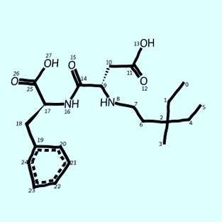 CCC(C)(CC)CCN[C@@H](CC(=O)O)C(=O)N[C@@H](Cc1ccccc1)C(=O)O